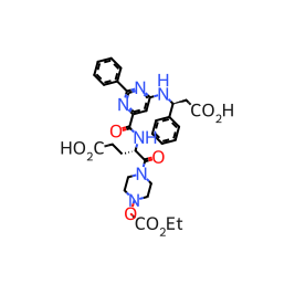 CCOC(=O)ON1CCN(C(=O)[C@H](CCC(=O)O)NC(=O)c2cc(N[C@@H](CC(=O)O)c3ccccc3)nc(-c3ccccc3)n2)CC1